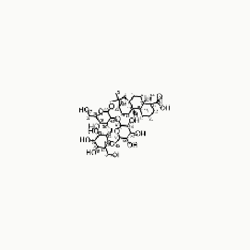 CC1(C)C[C@@]23CC[C@H]4[C@@](C)(CCC[C@@]4(C)C(=O)O)[C@@H]2CC[C@]1(OC1OC(CO)C(O)C(OC2OC(CO)C(O)C(O)C2O)C1OC1OC(CO)C(O)C(O)C1O)C3